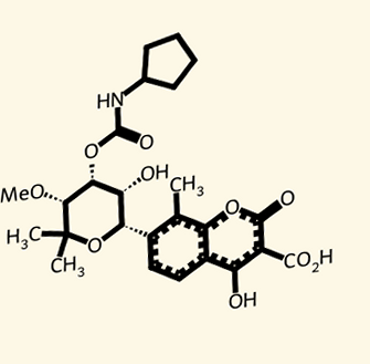 CO[C@@H]1[C@H](OC(=O)NC2CCCC2)[C@H](O)[C@H](c2ccc3c(O)c(C(=O)O)c(=O)oc3c2C)OC1(C)C